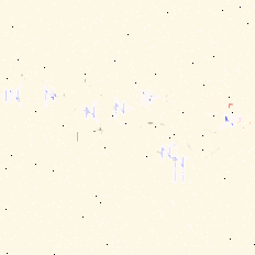 C[C@@H]1CN(c2cc(-c3n[nH]c4ccc([N+](=O)[O-])cc34)ccn2)C[C@H](C)N1CCN1CCNCC1